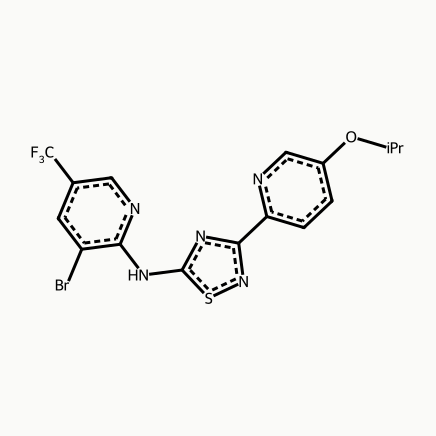 CC(C)Oc1ccc(-c2nsc(Nc3ncc(C(F)(F)F)cc3Br)n2)nc1